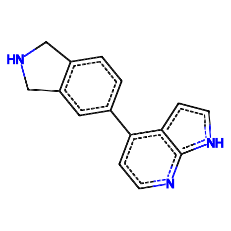 c1cc(-c2ccc3c(c2)CNC3)c2cc[nH]c2n1